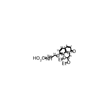 CCOC(Cn1c(=O)ccc2ccc(OCCCNC(=O)O)nc21)OCC